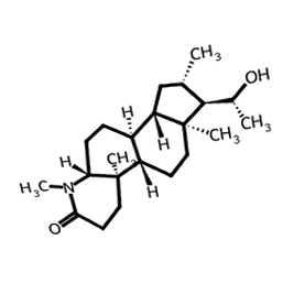 C[C@@H](O)[C@@H]1[C@@H](C)C[C@H]2[C@@H]3CC[C@H]4N(C)C(=O)CC[C@]4(C)[C@H]3CC[C@]12C